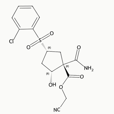 N#CCOC(=O)[C@]1(C(N)=O)C[C@@H](S(=O)(=O)c2ccccc2Cl)C[C@H]1O